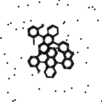 Fc1cccc(F)c1-c1c2c(c(-c3cccc4sc5ccc(-c6c7c(c(-c8c(F)cccc8I)c8ccccc68)C=CCC7)cc5c34)c3ccccc13)C=CCC2